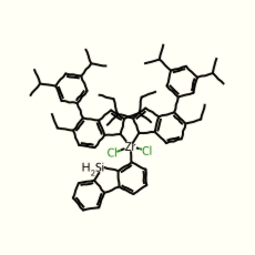 CCc1ccc2c(c1-c1cc(C(C)C)cc(C(C)C)c1)C=C(C(C)CC)[CH]2[Zr]([Cl])([Cl])([c]1cccc2c1[SiH2]c1ccccc1-2)[CH]1C(C(C)CC)=Cc2c1ccc(CC)c2-c1cc(C(C)C)cc(C(C)C)c1